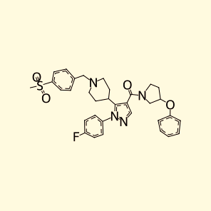 CS(=O)(=O)c1ccc(CN2CCC(c3c(C(=O)N4CCC(Oc5ccccc5)C4)cnn3-c3ccc(F)cc3)CC2)cc1